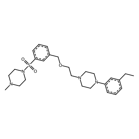 CCc1cccc(N2CCN(CCOCc3cccc(S(=O)(=O)N4CCN(C)CC4)c3)CC2)c1